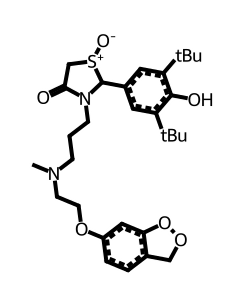 CN(CCCN1C(=O)C[S+]([O-])C1c1cc(C(C)(C)C)c(O)c(C(C)(C)C)c1)CCOc1ccc2c(c1)OOC2